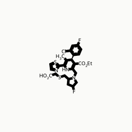 CCOC(=O)C1=C(CN2CC(F)CC2CSCC(=O)O)NC(c2nccs2)=C(C)[C@H]1c1ccc(F)cc1Cl